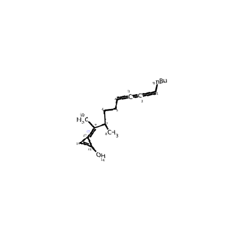 CCCCC=C=C=CCCC(C)/C(C)=C1C=C/1O